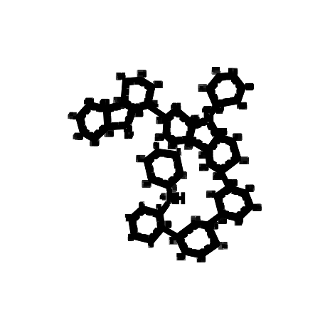 c1ccc(Nc2ccccc2-c2cccc(-c3cccc(-c4ccc5c(c4)c4ccc(-c6cccc7c6sc6ccccc67)cc4n5-c4ccccc4)c3)c2)cc1